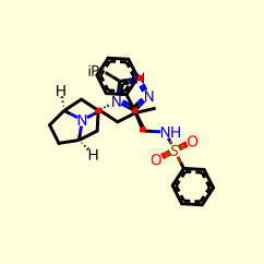 Cc1nnc(C(C)C)n1[C@@H]1C[C@H]2CC[C@@H](C1)N2CCC(C)(CNS(=O)(=O)c1ccccc1)c1ccccc1